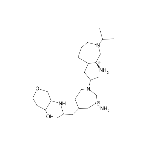 CC(CC1CCN(C(C)CC2CCCN(C(C)C)C[C@H]2N)C[C@H](N)C1)NC1COCCC1O